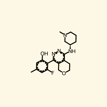 Cc1cc(O)c(-c2nnc(N[C@@H]3CCCN(C)C3)c3c2COCC3)c(F)c1